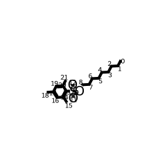 CCCCCCCCCOS(=O)(=O)c1c(C)cc(C)cc1C